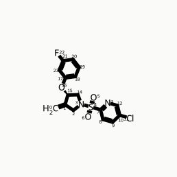 C=C1CN(S(=O)(=O)c2ccc(Cl)cn2)C[C@@H]1Oc1cccc(F)c1